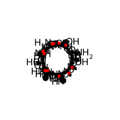 CCCC[C@H]1C(=O)N(C)[C@@H](CCCC)C(=O)N[C@@H](CCC(=O)O)C(=O)N[C@H](C(=O)NCC(N)=O)CSCC(=O)N[C@@H](Cc2ccc(O)cc2)C(=O)N2CCCC[C@H]2C(=O)N[C@@H](CC(N)=O)C(=O)N2CCC[C@H]2C(=O)N[C@@H](Cc2cnc[nH]2)C(=O)N[C@@H](CCC(=O)O)C(=O)N2C[C@H](O)C[C@H]2C(=O)N[C@@H](Cc2c[nH]c3ccccc23)C(=O)N[C@@H](CO)C(=O)N[C@@H](Cc2c[nH]c3ccccc23)C(=O)N1C